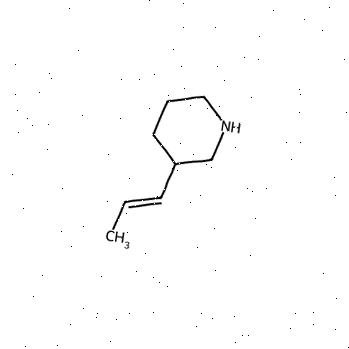 C/C=C/C1CCCNC1